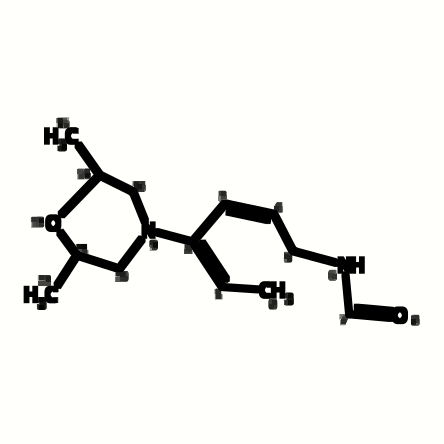 C/C=C(\C=C/CNC=O)N1CC(C)OC(C)C1